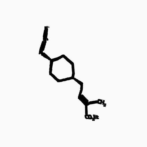 CCOC(=O)/C(C)=C/C[C@H]1CC[C@@H](N=[N+]=[N-])CC1